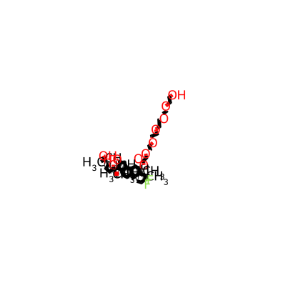 CC(C)(O)[C@@H]1CC[C@@](C)([C@H]2[C@@H](O)C[C@@]3(C)[C@@H]4C[C@H](OC(=O)COCCOCCOCCOCCOCCO)[C@H]5C(C)(C)C(F)(F)CC[C@@]56C[C@@]46CC[C@]23C)O1